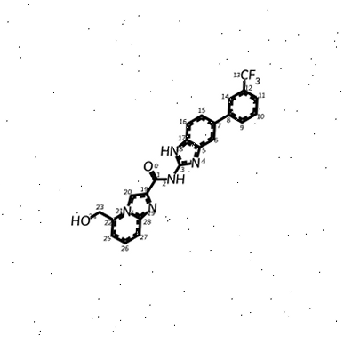 O=C(Nc1nc2cc(-c3cccc(C(F)(F)F)c3)ccc2[nH]1)c1cn2c(CO)cccc2n1